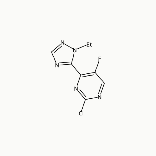 CCn1ncnc1-c1nc(Cl)ncc1F